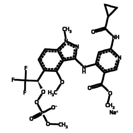 COC(=O)c1cnc(NC(=O)C2CC2)cc1Nc1nn(C)c2ccc([C@H](OOP(=O)([O-])OC)C(F)(F)F)c(OC)c12.[Na+]